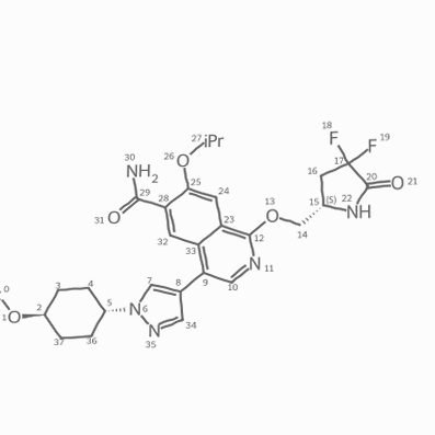 CCO[C@H]1CC[C@H](n2cc(-c3cnc(OC[C@@H]4CC(F)(F)C(=O)N4)c4cc(OC(C)C)c(C(N)=O)cc34)cn2)CC1